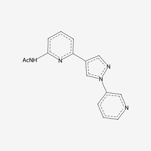 CC(=O)Nc1cccc(-c2cnn(-c3cccnc3)c2)n1